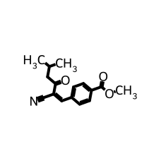 COC(=O)c1ccc(C=C(C#N)C(=O)CC(C)C)cc1